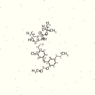 CCCc1ccc(OCOC)c(Sc2ccc(CC[C@](CO)(CCC)NC(=O)OC(C)(C)C)c(Cl)c2)c1